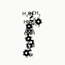 CN(C)CC[C@H](CSc1ccccc1)Nc1ccc(S(=O)(=O)NC(=O)c2ccc3c(c2)CC[C@@H]2CN(Cc4ccccc4Br)CCN32)cc1[N+](=O)[O-]